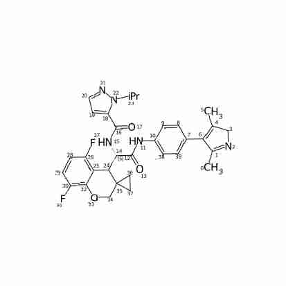 CC1=NCC(C)=C1c1ccc(NC(=O)[C@@H](NC(=O)c2ccnn2C(C)C)C2c3c(F)ccc(F)c3OCC23CC3)cc1